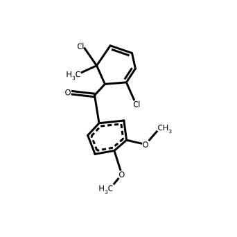 COc1ccc(C(=O)C2C(Cl)=CC=CC2(C)Cl)cc1OC